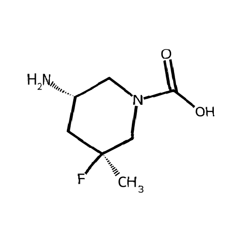 C[C@]1(F)C[C@H](N)CN(C(=O)O)C1